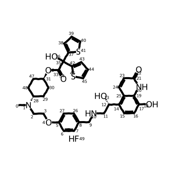 CN(CCOc1ccc(CNC[C@H](O)c2ccc(O)c3[nH]c(=O)ccc23)cc1)[C@H]1CC[C@H](OC(=O)C(O)(c2cccs2)c2cccs2)CC1.F